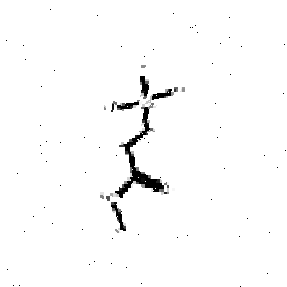 COC(=O)CC[Si](F)(F)F